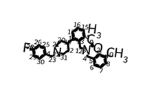 CC(=O)N(Cc1cccc(C)c1)Cc1ccccc1C1CCN(Cc2ccc(F)cc2)CC1